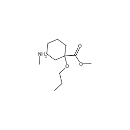 CCCOC1(C(=O)OC)CCCCC1.CN